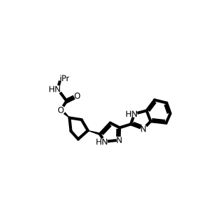 CC(C)NC(=O)O[C@@H]1CC[C@H](c2cc(-c3nc4ccccc4[nH]3)n[nH]2)C1